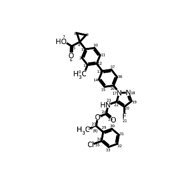 Cc1cc(C2(C(=O)O)CC2)ccc1-c1ccc(-n2ncc(F)c2NC(=O)O[C@H](C)c2ccccc2Cl)cc1